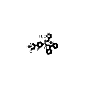 Cn1nccc1C(=O)N[C@H](C(=O)Nc1ccc(-c2cn[nH]c(=O)c2)c(F)c1)C(c1ccccc1)c1ccccc1